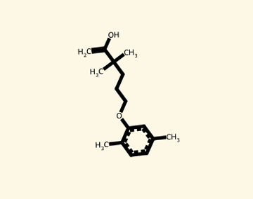 C=C(O)C(C)(C)CCCOc1cc(C)ccc1C